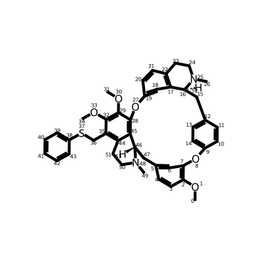 COc1ccc2cc1Oc1ccc(cc1)C[C@H]1c3cc(ccc3CCN1C)Oc1c(OC)c(OC)c(CSc3ccccc3)c3c1[C@H](C2)N(C)CC3